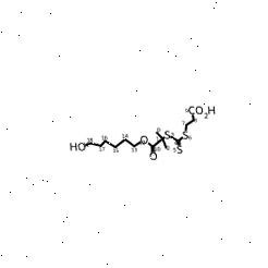 CC(C)(SC(=S)SCCC(=O)O)C(=O)OCCCCCCO